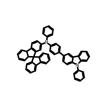 C1=CC2c3ccc(N(c4ccccc4)c4ccc(-c5ccc6c(c5)c5ccccc5n6-c5ccccc5)cc4)cc3C3(c4ccccc4-c4ccccc43)C2C=C1